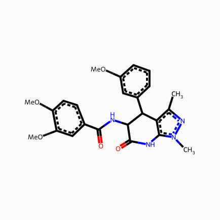 COc1cccc(C2c3c(C)nn(C)c3NC(=O)C2NC(=O)c2ccc(OC)c(OC)c2)c1